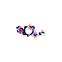 C=C(/C=N\C(=C\c1c2c3cc(c(F)cc3n1CC(F)(F)F)-c1csc(n1)C[C@H](NC(=O)[C@@H](COC1CN(C(=O)[C@H](F)Cl)C1)C(C)C)C(=O)N1CCC[C@H](N1)C(=O)OCC(C)(C)C2)[C@H](C)OC)N1CCN(C)CC1